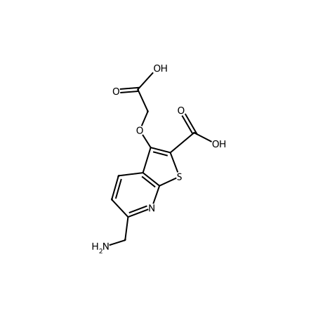 NCc1ccc2c(OCC(=O)O)c(C(=O)O)sc2n1